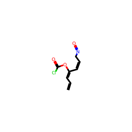 C=C/C=C(\C=C/CN=O)OC(=O)Cl